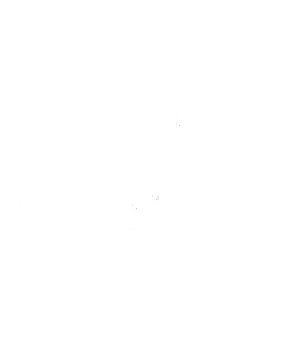 CC(=O)N1NC(c2c(-c3ccccc3)c3cc(Cl)ccc3[nH]c2=O)CC1c1ccc(C)cc1